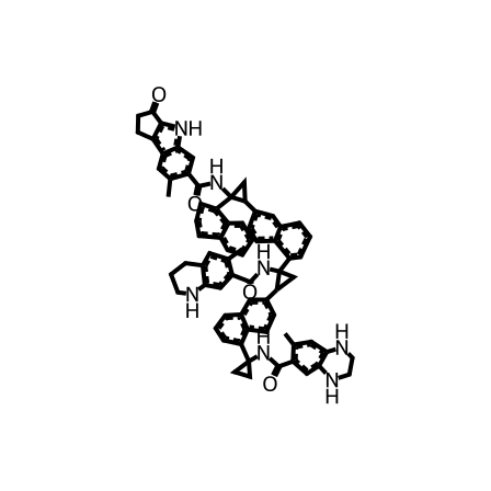 Cc1cc2c(cc1C(=O)NC1(c3cccc4cc(C5CC5(NC(=O)c5cc6c(cc5C)CCCN6)c5cccc6cc(C7CC7(NC(=O)c7cc8[nH]c9c(c8cc7C)CCC9=O)c7cccc8ccccc78)ccc56)ccc34)CC1)NCCN2